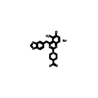 Nc1c(Cl)ccc2nc(N3CCC(C(=O)[O-])CC3)nc(Cc3ccc4c(c3)OCO4)c12.[Na+]